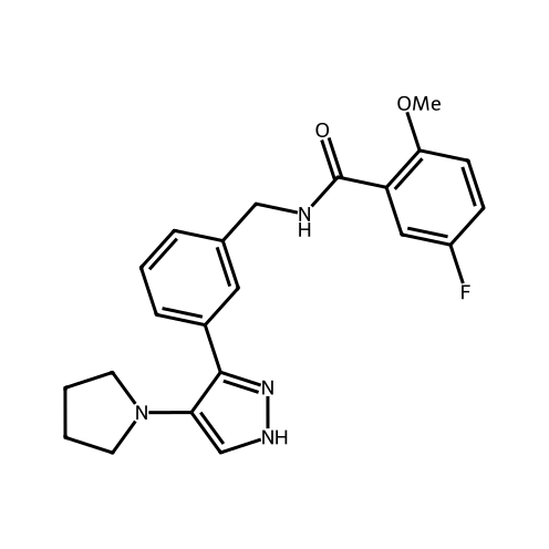 COc1ccc(F)cc1C(=O)NCc1cccc(-c2n[nH]cc2N2CCCC2)c1